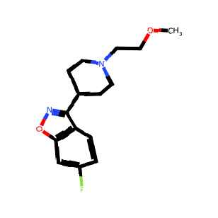 COCCN1CCC(c2noc3cc(F)ccc23)CC1